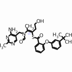 C/C(=C(\CCO)SC(=O)c1ccccc1Oc1cccc(C(C)(C)C)c1)N(C=O)Cc1cnc(C)nc1N